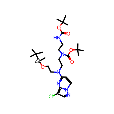 CC(C)(C)OC(=O)NCCN(CCN(CCO[Si](C)(C)C(C)(C)C)c1ccn2ncc(Cl)c2n1)C(=O)OC(C)(C)C